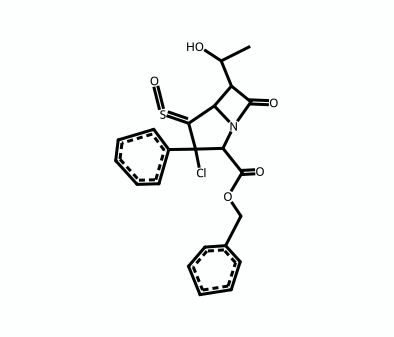 CC(O)C1C(=O)N2C1C(=S=O)C(Cl)(c1ccccc1)C2C(=O)OCc1ccccc1